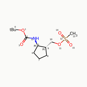 CC(C)(C)OC(=O)N[C@@H]1CCC[C@H]1COS(C)(=O)=O